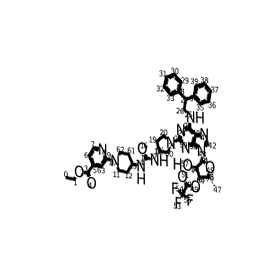 CCOC(=O)c1ccnc(N2CCC(NC(=O)N[C@@H]3CCN(c4nc(NCC(c5ccccc5)c5ccccc5)c5ncn([C@@H]6O[C@H](C)[C@@H](OC(=O)C(F)(F)F)[C@H]6O)c5n4)C3)CC2)c1